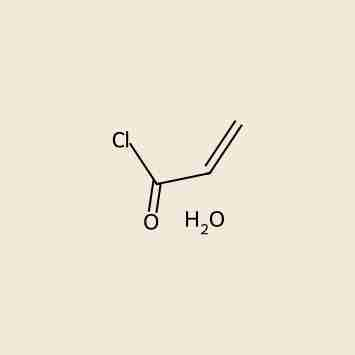 C=CC(=O)Cl.O